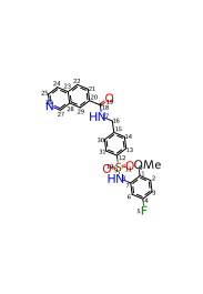 COc1ccc(F)cc1NS(=O)(=O)c1ccc(CNC(=O)c2ccc3ccncc3c2)cc1